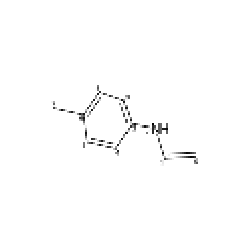 C=CNc1ccc(C)cc1